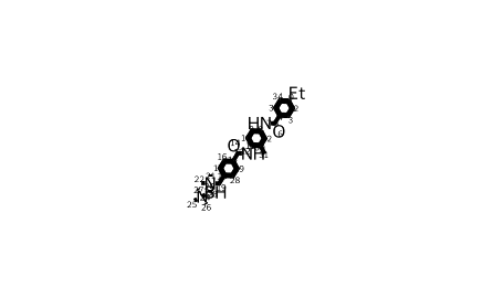 CCc1ccc(C(=O)Nc2ccc(NC(=O)c3ccc(C[N+](C)(C)B[N+](C)(C)C)cc3)c(C)c2)cc1